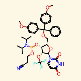 COc1ccc(C(OC[C@H]2O[C@@H](n3ccc(=O)[nH]c3=O)[C@H](OC(F)(F)F)[C@@H]2OP(OCCC#N)N(C(C)C)C(C)C)(c2ccccc2)c2ccc(OC)cc2)cc1